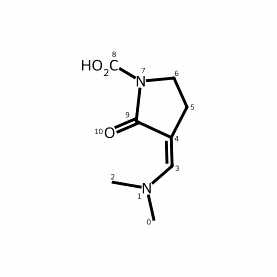 CN(C)C=C1CCN(C(=O)O)C1=O